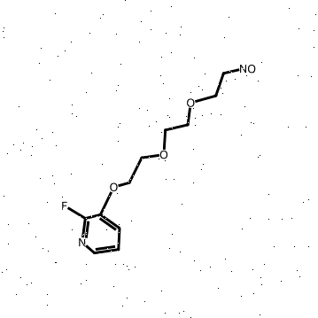 O=NCCOCCOCCOc1cccnc1F